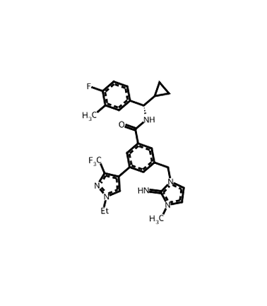 CCn1cc(-c2cc(Cn3ccn(C)c3=N)cc(C(=O)N[C@H](c3ccc(F)c(C)c3)C3CC3)c2)c(C(F)(F)F)n1